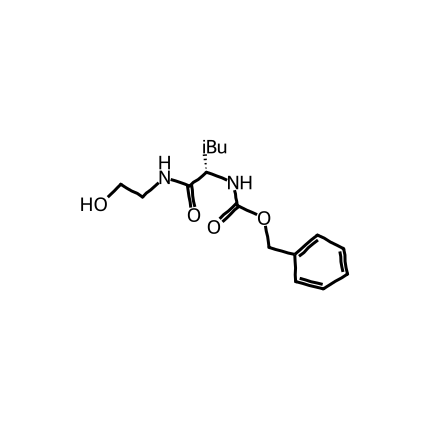 CCC(C)[C@H](NC(=O)OCc1ccccc1)C(=O)NCCO